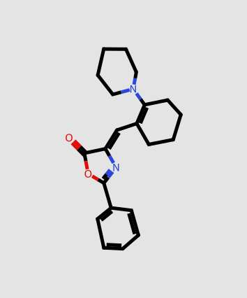 O=C1OC(c2ccccc2)=N/C1=C\C1=C(N2CCCCC2)CCCC1